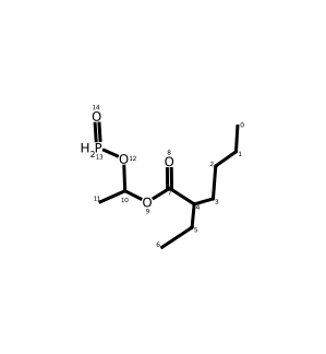 CCCCC(CC)C(=O)OC(C)O[PH2]=O